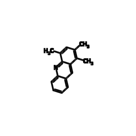 Cc1cc(C)c2nc3ccccc3cc2c1C